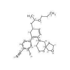 CCCOC(C)CC1C=CC(N2CCCC3(CCOC3)C2)=C(c2ccc(C#N)c(F)c2)C1